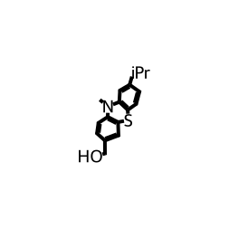 CC(C)c1ccc2c(c1)N(C)c1ccc(CO)cc1S2